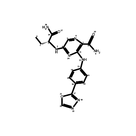 CC[C@@H](Nc1cnc(C(N)=O)c(Nc2ccc(-c3nnco3)cc2)n1)C(N)=O